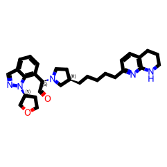 O=C[C@H](c1cccc2cnn([C@H]3CCOC3)c12)N1CC[C@@H](CCCCCc2ccc3c(n2)NCCC3)C1